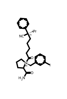 CC(C)[C@@](C#N)(CCCCC(=O)[N@@+]1(Cc2cccc(I)c2)CCCC1C(N)=O)c1ccccc1